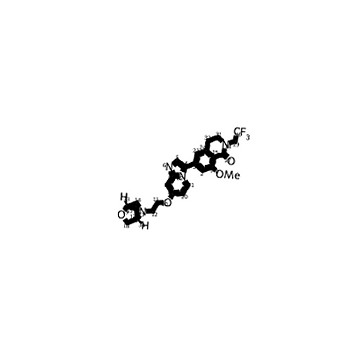 COc1cc(-c2cnc3cc(OCCN4C[C@@H]5C[C@H]4CO5)ccn23)cc2c1C(=O)N(CC(F)(F)F)CC2